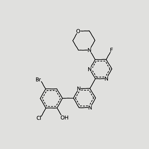 Oc1c(Cl)cc(Br)cc1-c1cncc(-c2ncc(F)c(N3CCOCC3)n2)n1